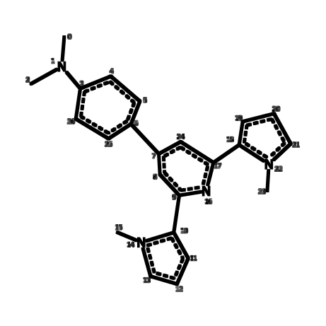 CN(C)c1ccc(-c2cc(-c3cccn3C)nc(-c3cccn3C)c2)cc1